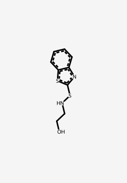 OCCNSc1nc2ccccc2s1